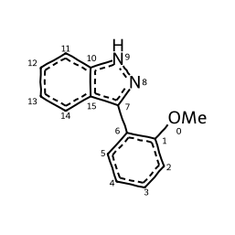 COc1ccccc1-c1n[nH]c2ccccc12